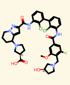 COc1cc(C(=O)Nc2cccc(-c3cccc(NC(=O)c4cc5n(n4)CCCC5N4CC[C@@H](C(=O)O)C4)c3Cl)c2Cl)cc(F)c1CN1CC[C@@H](O)C1